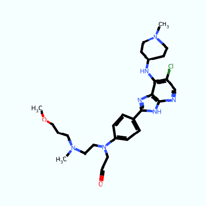 COCCCN(C)CCN(CC=O)c1ccc(-c2nc3c(NC4CCN(C)CC4)c(Cl)cnc3[nH]2)cc1